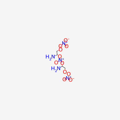 NC(COO[N+](=O)[O-])O[N+](=O)OC(N)COO[N+](=O)[O-]